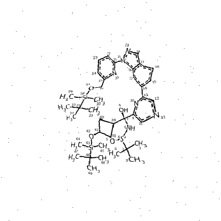 CC(C)(C)[S@@+]([O-])N[C@@](O)(c1cncc(-c2ccc3cnn(-c4cccc(CO[Si](C)(C)C(C)(C)C)n4)c3c2)n1)C1CC(O[Si](C)(C)C(C)(C)C)C1